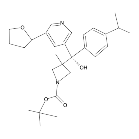 CC(C)c1ccc([C@](O)(c2cncc(C3CCCO3)c2)C2(C)CN(C(=O)OC(C)(C)C)C2)cc1